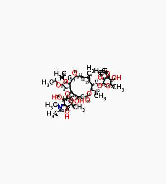 CCOC(C[C@H]1C[C@@H](C)C(=O)/C=C/C(C)=C/[C@H](COC2OC(C)C(O)C(OC)C2OC)[C@@H](CC)OC(=O)C[C@@H](O)[C@H](C)[C@H]1OC1OC(C)C(O)C(N(C)CC)C1O)OCC